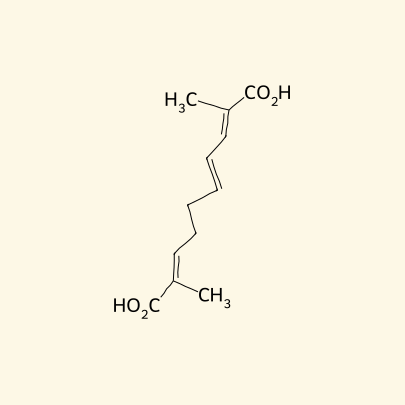 CC(=CC=CCCC=C(C)C(=O)O)C(=O)O